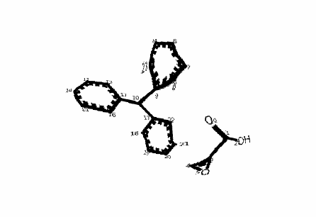 O=C(O)C1=CO1.c1ccc(C(c2ccccc2)c2ccccc2)cc1